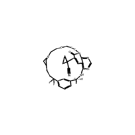 C[C@@H]1Nc2ncnc3c2cc(C2(C#N)CC2)c(=O)n3CCCCCCN2CC(CCC(F)(F)c3cccc1c3)C2